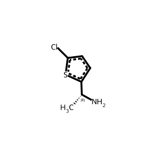 C[C@@H](N)c1ccc(Cl)s1